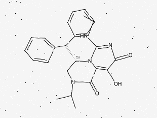 CCNc1nc(=O)c(O)c2n1[C@@H](C(c1ccccc1)c1ccccc1)CN(C(C)C)C2=O